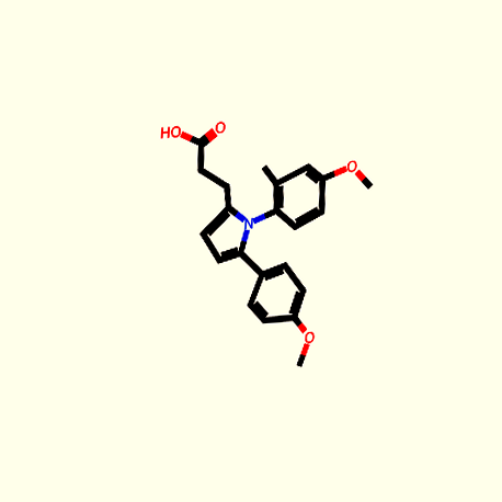 COc1ccc(-c2ccc(CCC(=O)O)n2-c2ccc(OC)cc2C)cc1